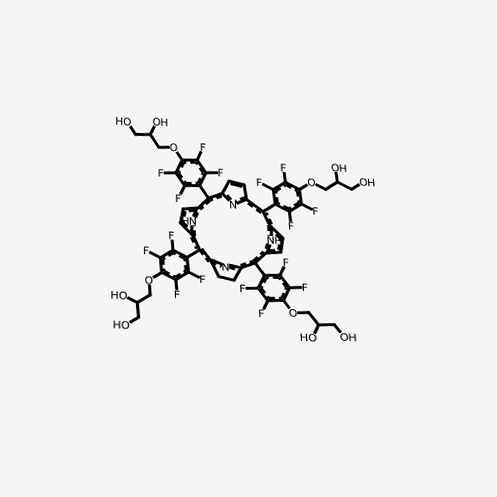 OCC(O)COc1c(F)c(F)c(-c2c3nc(c(-c4c(F)c(F)c(OCC(O)CO)c(F)c4F)c4ccc([nH]4)c(-c4c(F)c(F)c(OCC(O)CO)c(F)c4F)c4nc(c(-c5c(F)c(F)c(OCC(O)CO)c(F)c5F)c5ccc2[nH]5)CC4)C=C3)c(F)c1F